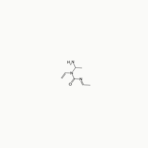 C=CN(C(=O)N=CC)C(C)N